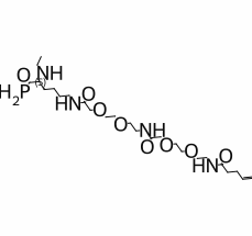 C=CCCC(=O)NCCOCCOCC(=O)NCCOCCOCC(=O)NCCCC[C@H](NCC)C(=O)P